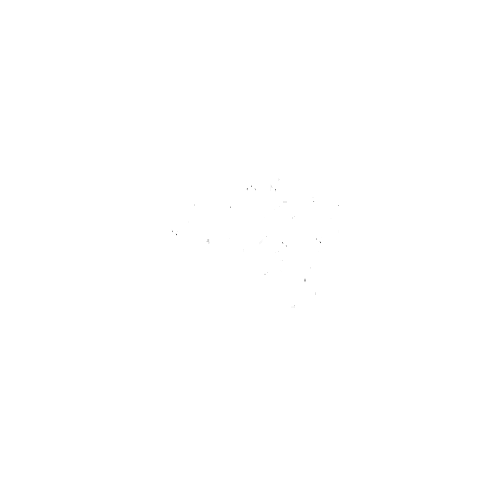 CN(C)c1ccc(-c2n[nH]c3c2c(=O)n(-c2ccccc2)c2ncccc32)cc1